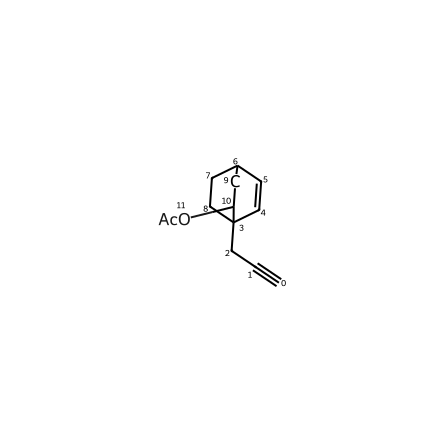 C#CCC12C=CC(CC1)CC2OC(C)=O